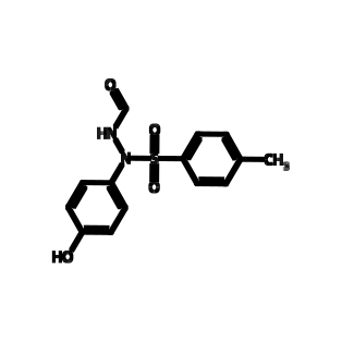 Cc1ccc(S(=O)(=O)N(NC=O)c2ccc(O)cc2)cc1